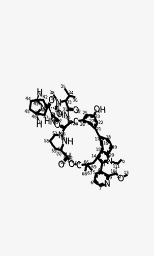 CCn1c(-c2cccnc2[C@H](C)OC)c2c3cc(ccc31)-c1cc(O)cc(c1)C[C@H](NC(=O)C(C(C)C)N(C)C(=O)[C@H]1C[C@H]3CC[C@@H](C1)N3C(=O)[C@H]1CN1)C(=O)N1CCC[C@H](N1)C(=O)OCC(C)(C)C2